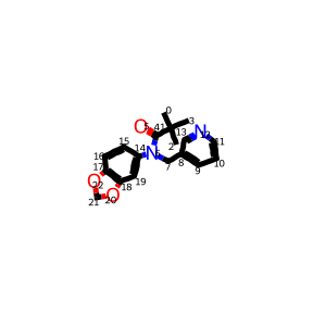 CC(C)(C)C(=O)N(Cc1cccnc1)c1ccc2c(c1)OCO2